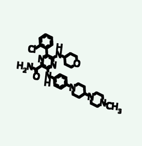 CN1CCN(C2CCN(c3ccc(Nc4nc(NC5CCOCC5)c(-c5ccccc5Cl)nc4C(N)=O)cc3)CC2)CC1